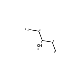 [KH].[Li][CH2]CCC